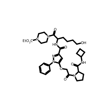 CCOC(=O)N1CCN(C(=O)C(CCCCO)NC(=O)c2cc(OCC(=O)N3CCCC3C(=O)NC3CCC3)n(-c3ccccc3)n2)CC1